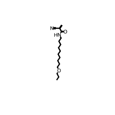 C=C(C#N)C(=O)NCCCCCCCCCCOCCC